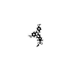 CCOC(=O)[C@H]1[C@@H]2Cc3cc(N(Cc4ccc(OC)cc4)Cc4ccc(OC)cc4)ncc3[C@@H]21